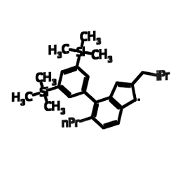 CCCc1ccc2c(c1-c1cc([Si](C)(C)C)cc([Si](C)(C)C)c1)C=C(CC(C)C)[CH]2